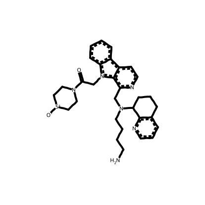 NCCCCN(Cc1nccc2c3ccccc3n(CC(=O)N3CC[S+]([O-])CC3)c12)C1CCCc2cccnc21